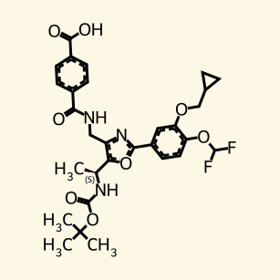 C[C@H](NC(=O)OC(C)(C)C)c1oc(-c2ccc(OC(F)F)c(OCC3CC3)c2)nc1CNC(=O)c1ccc(C(=O)O)cc1